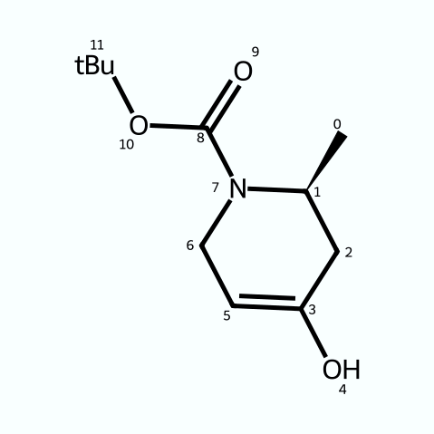 C[C@H]1CC(O)=CCN1C(=O)OC(C)(C)C